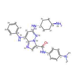 CN(C)c1ccc(NC(=O)c2cnc3c(Nc4ccccc4)cc(N[C@H]4CC[C@H](N)CC4)nn23)cc1